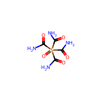 NC(=O)S(=O)(C(N)=O)(C(N)=O)C(N)=O